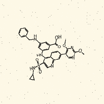 COc1ncc(-c2ccc3c(Nc4cc(NCc5ccccc5)cc(C(=O)O)c4)c(S(=O)(=O)NC4CC4)cnc3c2)c(OC)n1